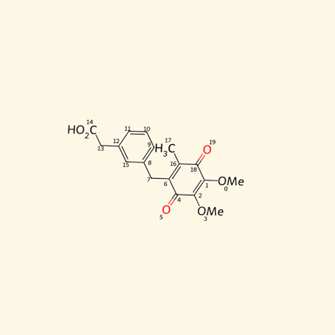 COC1=C(OC)C(=O)C(Cc2cccc(CC(=O)O)c2)=C(C)C1=O